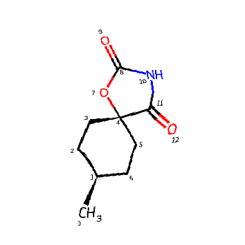 C[C@H]1CC[C@@]2(CC1)OC(=O)NC2=O